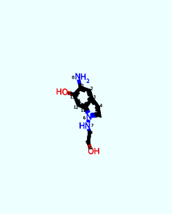 Nc1cc2ccn(NCCO)c2cc1O